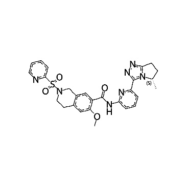 COc1cc2c(cc1C(=O)Nc1cccc(-c3nnc4n3[C@@H](C)CC4)n1)CN(S(=O)(=O)c1ccccn1)CC2